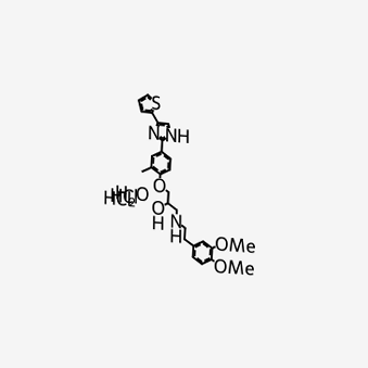 COc1ccc(CCNCC(O)COc2ccc(-c3nc(-c4cccs4)c[nH]3)cc2C)cc1OC.Cl.Cl.O